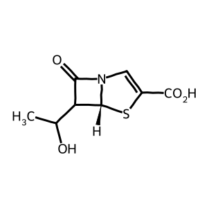 CC(O)C1C(=O)N2C=C(C(=O)O)S[C@H]12